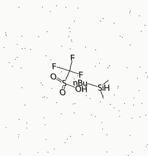 CCCC[SiH](C)C.O=S(=O)(O)C(F)(F)F